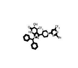 CC(C)c1nc(N2CCC(c3nn(C(c4ccccc4)c4ccccc4)c4c3[C@H](C(F)(F)F)[C@@H](O)C(=O)N4)CC2)cc(C(F)(F)F)n1